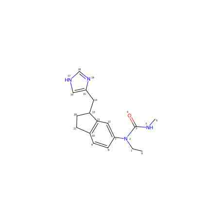 CCN(C(=O)NC)c1ccc2c(c1)C(Cc1c[nH]cn1)CC2